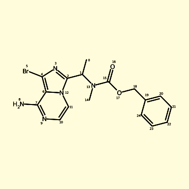 CC(c1nc(Br)c2c(N)nccn12)N(C)C(=O)OCc1ccccc1